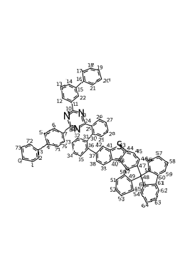 c1ccc(-c2ccc(-c3nc(-c4cccc(-c5ccccc5)c4)nc(-c4ccccc4-c4ccccc4-c4ccc5c(c4)sc4ccc(C6(c7ccccc7)c7ccccc7-c7ccccc76)cc45)n3)cc2)cc1